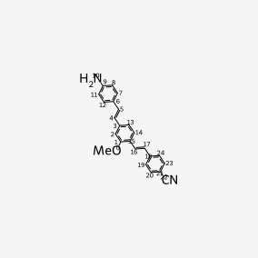 COc1cc(/C=C/c2ccc(N)cc2)ccc1/C=C/c1ccc(C#N)cc1